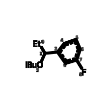 CCC(OCC(C)C)c1cccc(F)c1